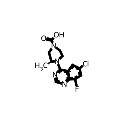 C[C@H]1CN(C(=O)O)CCN1c1ncnc2c(F)cc(Cl)cc12